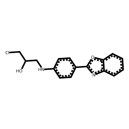 OC(CCl)CNc1ccc(-c2nc3ccccc3o2)cc1